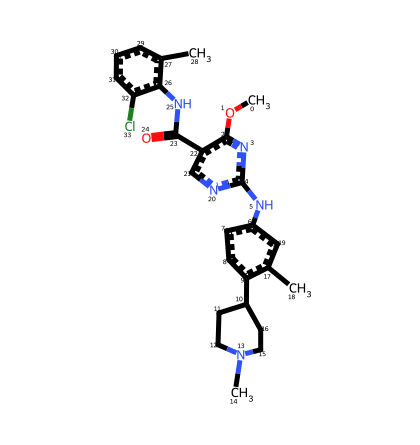 COc1nc(Nc2ccc(C3CCN(C)CC3)c(C)c2)ncc1C(=O)Nc1c(C)cccc1Cl